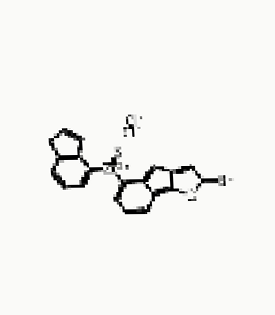 [Cl-].[Cl-].[S]=[Zr+2]([c]1cccc2c1C=CC2)[c]1cccc2c1=CC1=CC(Br)OC=21